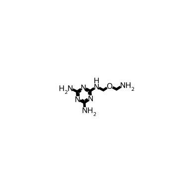 NCOCNc1nc(N)nc(N)n1